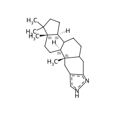 CC1(C)CC[C@H]2C3CCC4Cc5n[nH]cc5C[C@]4(C)[C@H]3CC[C@@]21C